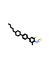 CCCCCC1CCC(c2ccc(-c3cc(C)c(N=C=S)c(F)c3)cc2)CC1